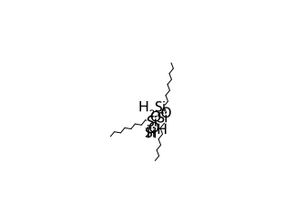 CCCCCCCC[SiH2]O[SiH](CCCCCCCC)O[SiH](CCCCCCCC)O[Si](C)(C)C